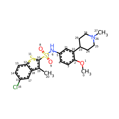 COc1ccc(NS(=O)(=O)c2sc3ccc(Cl)cc3c2C)cc1C1CCN(C)CC1